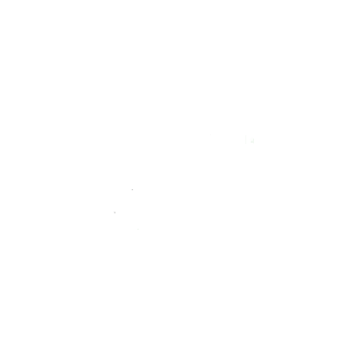 Fc1ccc(Br)cc1C(F)(F)C(F)(F)F